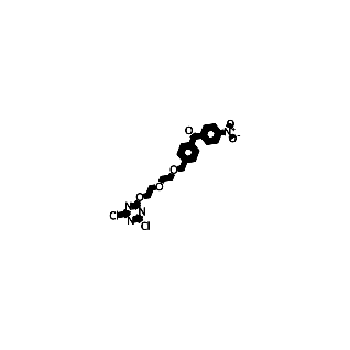 O=C(c1ccc(COCCOCCOc2nc(Cl)nc(Cl)n2)cc1)c1ccc([N+](=O)[O-])cc1